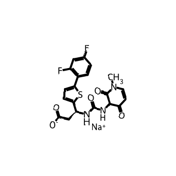 CN1C=CC(=O)C(NC(=O)N[C@@H](CC(=O)[O-])c2ccc(-c3ccc(F)cc3F)s2)C1=O.[Na+]